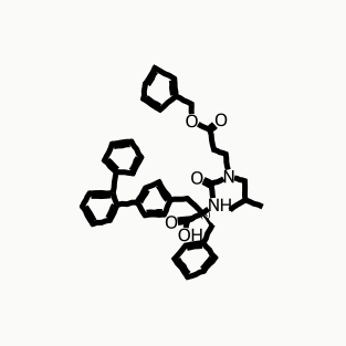 CC(C)CN(CCC(=O)OCc1ccccc1)C(=O)N[C@@](Cc1ccccc1)(Cc1ccc(-c2ccccc2-c2ccccc2)cc1)C(=O)O